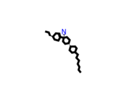 CCCCCCCC1CCC([C@H]2CC[C@](C#N)(C3=CC[C@H](CCC)CC3)CC2)CC1